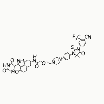 CC1(C)C(=O)N(c2ccc(C#N)c(C(F)(F)F)c2)C(=S)N1c1ccc(N2CCN(CCOCC(=O)Nc3ccc4c(C(=N)C5CCC(=O)NC5=O)c(O)ccc4c3)CC2)cc1